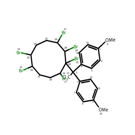 COc1ccc(C(c2ccc(OC)cc2)(C(Cl)(Cl)Cl)C2(Br)C(Br)CCC(Br)C(Br)CCC(Br)C2Br)cc1